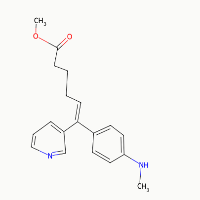 CNc1ccc(C(=CCCCC(=O)OC)c2cccnc2)cc1